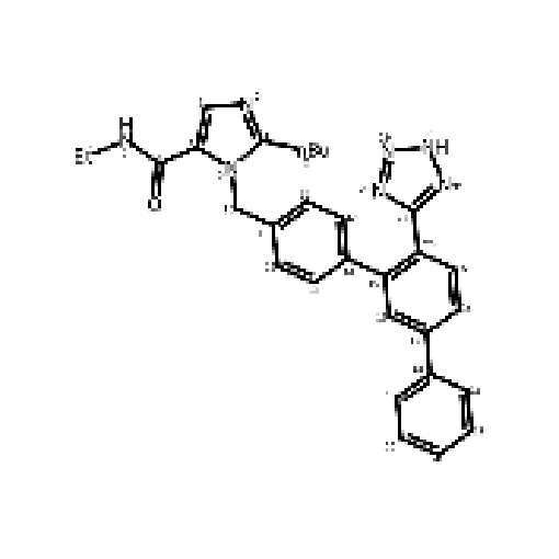 CCCCc1ncc(C(=O)NCC)n1Cc1ccc(-c2cc(-c3ccccc3)ccc2-c2nn[nH]n2)cc1